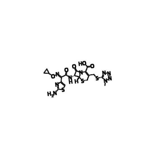 Cn1nnnc1SCC1=C(C(=O)O)N2C(=O)[C@@H](NC(=O)/C(=N/OC3CC3)c3csc(N)n3)[C@H]2SC1